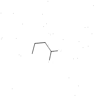 CC(C)C[C@H](N=O)C(N)O